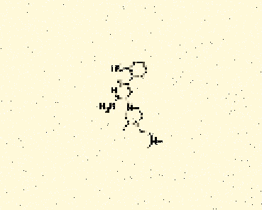 CC1CN(c2cc(-c3ccccc3O)nnc2N)CCN1CCN(C)C